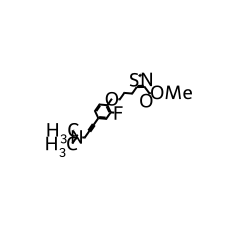 COC(=O)c1ncsc1CCCOc1ccc(C#CCN(C)C)cc1F